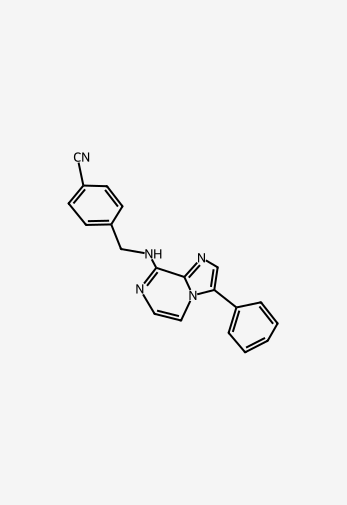 N#Cc1ccc(CNc2nccn3c(-c4ccccc4)cnc23)cc1